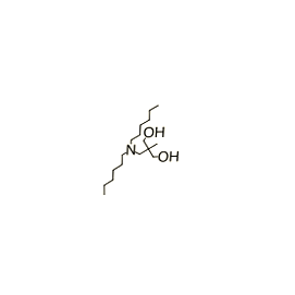 CCCCCCN(CCCCCC)CC(C)(CO)CO